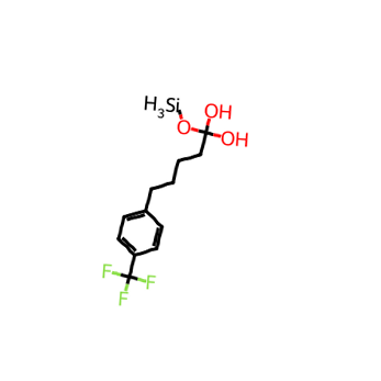 OC(O)(CCCCc1ccc(C(F)(F)F)cc1)O[SiH3]